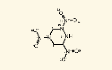 O=[N+]([O-])C1CN([N+](=O)[O-])CN([N+](=O)[O-])N1